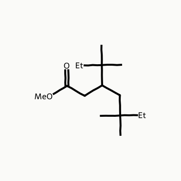 CCC(C)(C)CC(CC(=O)OC)C(C)(C)CC